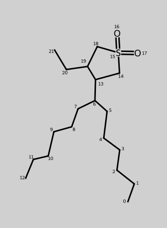 CCCCCCC(CCCCCC)C1CS(=O)(=O)CC1CC